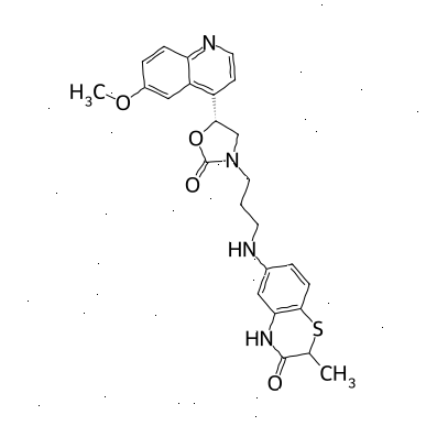 COc1ccc2nccc([C@@H]3CN(CCCNc4ccc5c(c4)NC(=O)C(C)S5)C(=O)O3)c2c1